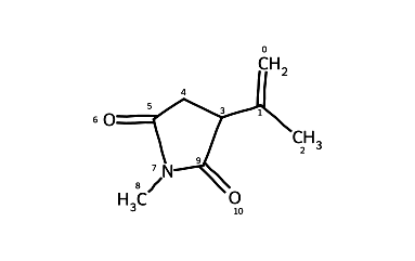 C=C(C)C1CC(=O)N(C)C1=O